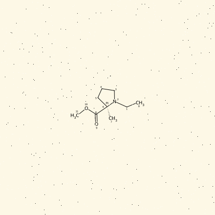 CCN1CCC[C@]1(C)C(=O)OC